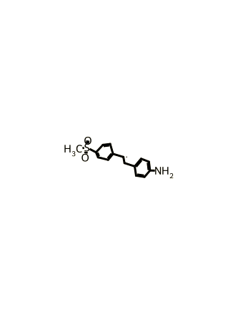 CS(=O)(=O)c1ccc([CH]Cc2ccc(N)cc2)cc1